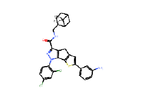 CC1(C)C2CCC(CNC(=O)c3nn(-c4ccc(Cl)cc4Cl)c4c3Cc3cc(-c5cccc(N)c5)sc3-4)C1C2